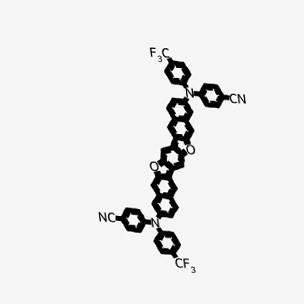 N#Cc1ccc(N(c2ccc(C(F)(F)F)cc2)c2ccc3cc4c(cc3c2)oc2cc3c(cc24)oc2cc4cc(N(c5ccc(C#N)cc5)c5ccc(C(F)(F)F)cc5)ccc4cc23)cc1